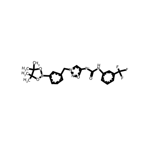 CC1(C)OB(c2cccc(C[n+]3cc([N-]C(=O)Nc4cccc(C(F)(F)F)c4)on3)c2)OC1(C)C